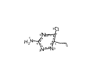 Cc1nnc(N)nc1Cl